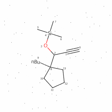 C#CC(O[Si](C)(C)C)C1(CCCC)CCCC1